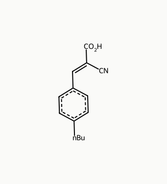 CCCCc1ccc(/C=C(\C#N)C(=O)O)cc1